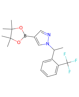 CC(c1ccccc1C(F)(F)F)n1cc(B2OC(C)(C)C(C)(C)O2)cn1